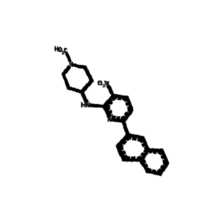 O=C(O)N1CCC(Nc2nc(-c3ccc4ccccc4c3)ccc2[N+](=O)[O-])CC1